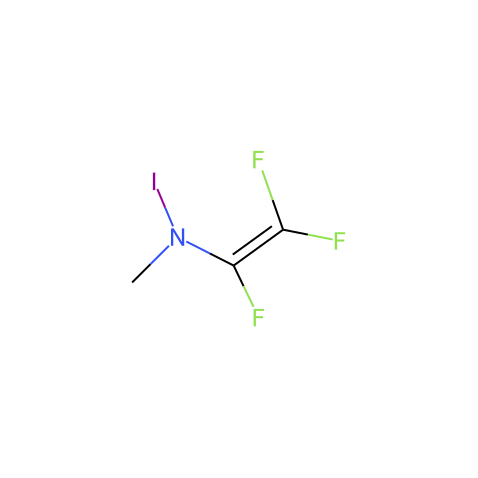 CN(I)C(F)=C(F)F